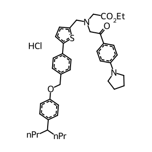 CCCC(CCC)c1ccc(OCc2ccc(-c3ccc(CN(CC(=O)OCC)CC(=O)c4ccc(N5CCCC5)cc4)s3)cc2)cc1.Cl